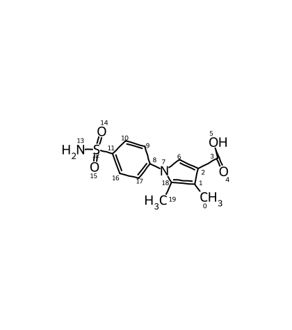 Cc1c(C(=O)O)cn(-c2ccc(S(N)(=O)=O)cc2)c1C